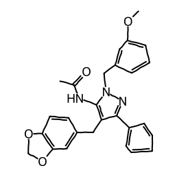 COc1cccc(Cn2nc(-c3ccccc3)c(Cc3ccc4c(c3)OCO4)c2NC(C)=O)c1